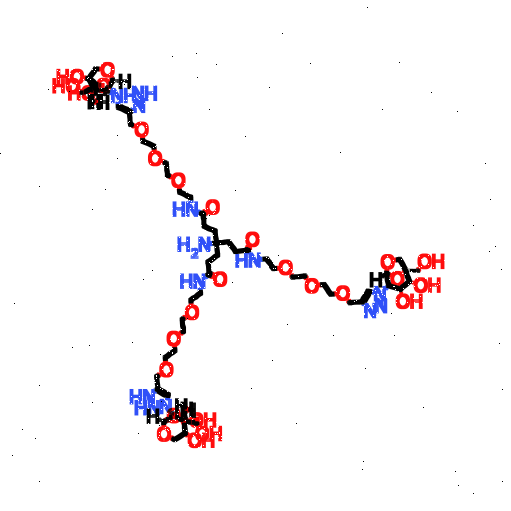 N=N/C(=C\N[C@H]1[C@@H]2OCC(O)([C@@H]1O)[C@@H](CO)O2)COCCOCCOCCNC(=O)CCC(N)(CCC(=O)NCCOCCOCCOCC1=CN([C@H]2[C@@H]3OCC(O)([C@@H]2O)[C@@H](CO)O3)NN1)CCC(=O)NCCOCCOCCOCc1cn([C@H]2[C@@H]3OC[C@](CO)(O3)[C@H](O)[C@@H]2O)nn1